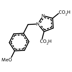 COc1ccc(Cn2nc(C(=O)O)cc2C(=O)O)cc1